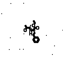 CCOC(=O)[C@H](CCc1ccccc1)N[C@@H](C)C(C)=O